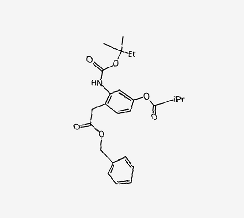 CCC(C)(C)OC(=O)Nc1cc(OC(=O)C(C)C)ccc1CC(=O)OCc1ccccc1